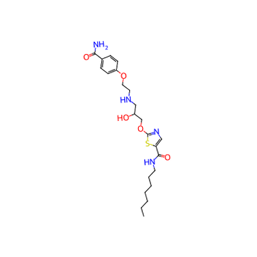 CCCCCCCNC(=O)c1cnc(OCC(O)CNCCOc2ccc(C(N)=O)cc2)s1